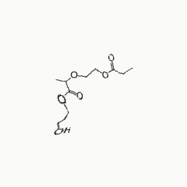 CCC(=O)OCCOC(C)C(=O)OCCO